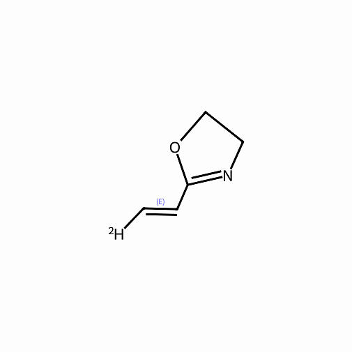 [2H]/C=C/C1=NCCO1